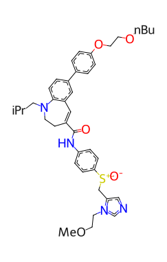 CCCCOCCOc1ccc(-c2ccc3c(c2)C=C(C(=O)Nc2ccc([S+]([O-])Cc4cncn4CCOC)cc2)CCN3CC(C)C)cc1